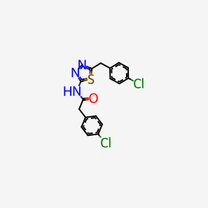 O=C(Cc1ccc(Cl)cc1)Nc1nnc(Cc2ccc(Cl)cc2)s1